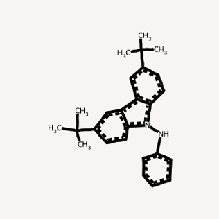 CC(C)(C)c1ccc2c(c1)c1cc(C(C)(C)C)ccc1n2Nc1ccccc1